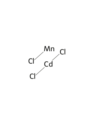 [Cl][Cd][Cl].[Cl][Mn]